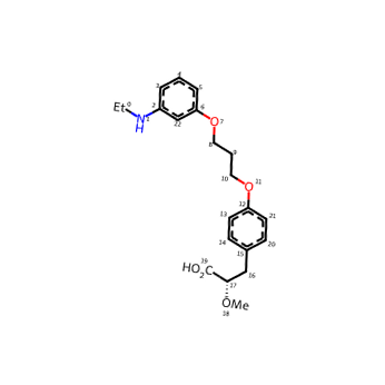 CCNc1cccc(OCCCOc2ccc(C[C@H](OC)C(=O)O)cc2)c1